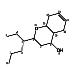 CCC[C@H](CC)C1CC(O)C2CC=CCC2O1